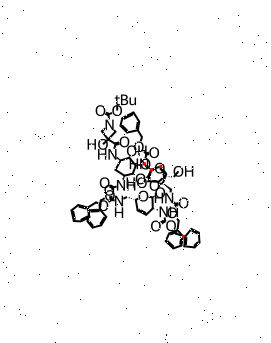 CC(C)(C)OC(=O)N1CC(O)(C(=O)N[C@@H]2C[C@H](NC(=O)OCc3ccccc3)[C@@H](O[C@H]3O[C@H](CNC(=O)OCc4ccccc4)C=C[C@H]3NC(=O)OCc3ccccc3)[C@H](O[C@@H]3O[C@H](CO)[C@@H](O[C@H]4O[C@@H](CNC(=O)OCc5ccccc5)C=C[C@H]4NC(=O)OCc4ccccc4)[C@H]3O)[C@H]2O)C1